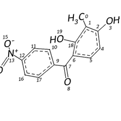 Cc1c(O)ccc(C(=O)c2ccc([N+](=O)[O-])cc2)c1O